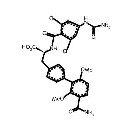 COc1ccc(C(N)=O)c(OC)c1-c1ccc(C[C@H](NC(=O)c2c(Cl)cc(NC(N)=O)cc2Cl)C(=O)O)cc1